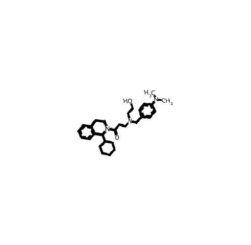 CN(C)c1ccc(CN(CCO)CCC(=O)N2CCc3ccccc3C2C2CCCCC2)cc1